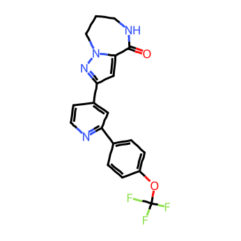 O=C1NCCCn2nc(-c3ccnc(-c4ccc(OC(F)(F)F)cc4)c3)cc21